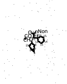 CCCCCCCCCC(=O)C(Oc1cc2cc-2c1)c1ccccc1.CCOC(C)=O